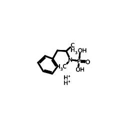 CC(Cc1ccccc1)N(C)P(=O)(O)O.[H+].[H+]